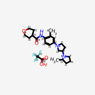 Cc1cc(N2CCC(N3CCCC3C)C2)ccc1NC(=O)C1CCOCC1.O=C(O)C(F)(F)F